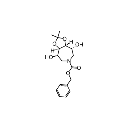 CC1(C)O[C@H]2[C@H](O1)[C@H](O)CN(C(=O)OCc1ccccc1)C[C@H]2O